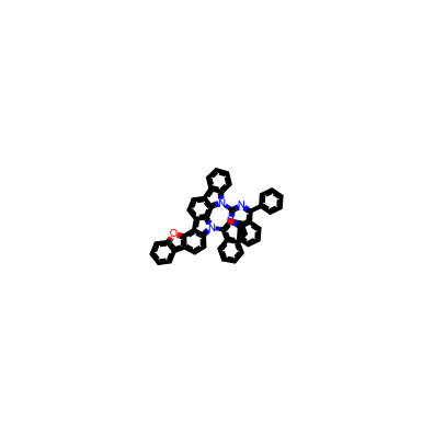 c1ccc(-c2nc(-n3c4ccccc4c4ccc5c6c7oc8ccccc8c7ccc6n(-c6cccc7ccccc67)c5c43)nc3ccccc23)cc1